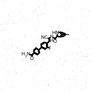 C[C@@H]1C2C3CC(C(C(=O)N[C@H](C#N)Cc4ccc(-c5ccc(C(N)=O)cc5)cc4F)N3)C21